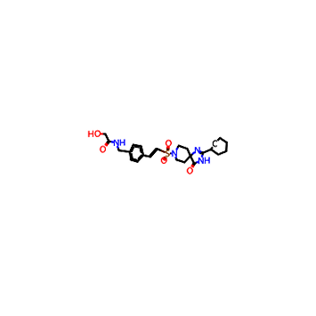 O=C(CO)NCc1ccc(/C=C/S(=O)(=O)N2CCC3(CC2)N=C(C2CCCCC2)NC3=O)cc1